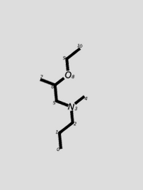 CCCN(C)CC(C)OCC